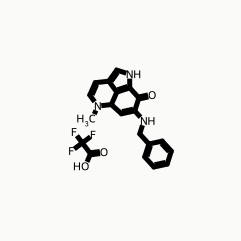 CN1C=Cc2c[nH]c3c2C1C=C(NCc1ccccc1)C3=O.O=C(O)C(F)(F)F